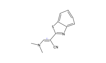 CN(C)/C=C(\C#N)c1nc2ccccc2s1